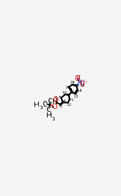 CC(C)(C)OC(=O)C=C1CCC(c2ccc([N+](=O)[O-])cc2)CC1